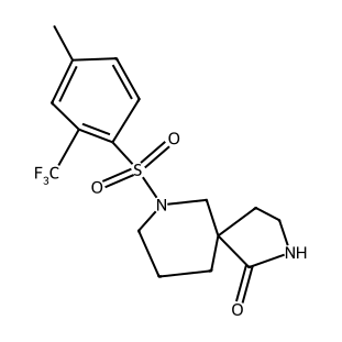 Cc1ccc(S(=O)(=O)N2CCCC3(CCNC3=O)C2)c(C(F)(F)F)c1